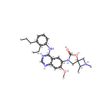 CCCc1cccc(Nc2ncnc3cc(OC)c(N4CC5(CN(C)C5C)OC4=O)cc23)c1CC